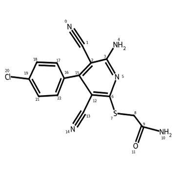 N#Cc1c(N)nc(SCC(N)=O)c(C#N)c1-c1ccc(Cl)cc1